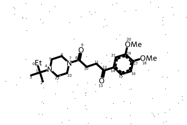 CCC(C)(C)N1CCN(C(=O)CCC(=O)c2ccc(OC)c(OC)c2)CC1